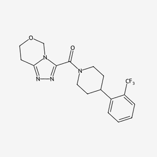 O=C(c1nnc2n1COCC2)N1CCC(c2ccccc2C(F)(F)F)CC1